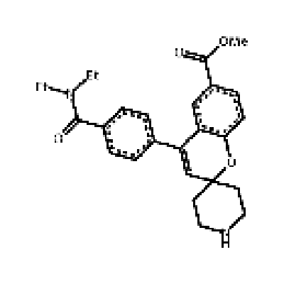 CCN(CC)C(=O)c1ccc(C2=CC3(CCNCC3)Oc3ccc(C(=O)OC)cc32)cc1